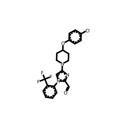 O=Cc1nc(N2CCC(Oc3ccc(Cl)cc3)CC2)cn1-c1ccccc1C(F)(F)F